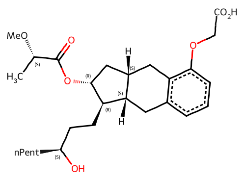 CCCCC[C@H](O)CC[C@@H]1[C@H]2Cc3cccc(OCC(=O)O)c3C[C@H]2C[C@H]1OC(=O)[C@H](C)OC